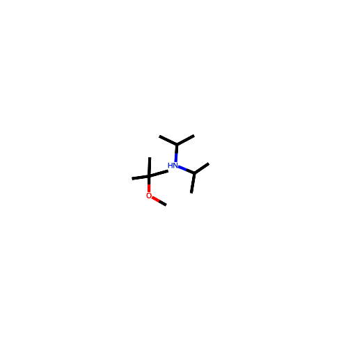 CC(C)NC(C)C.COC(C)(C)C